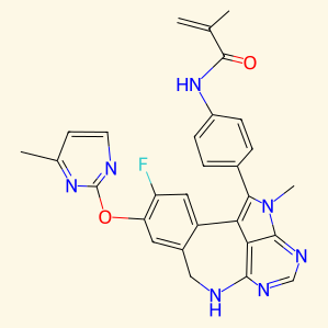 C=C(C)C(=O)Nc1ccc(-c2c3c4c(ncnc4n2C)NCc2cc(Oc4nccc(C)n4)c(F)cc2-3)cc1